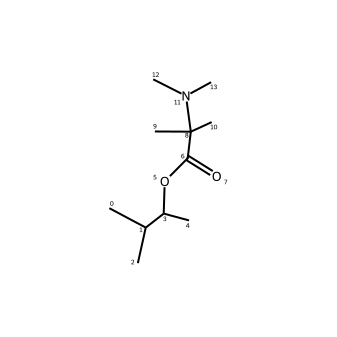 CC(C)C(C)OC(=O)C(C)(C)N(C)C